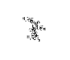 CCOC(=O)ON1CCN(C(=O)[C@H](CCC(=O)O)NC(=O)c2cc(OC3(C(=O)NC(C)C)CCC3)n(-c3ccccc3)n2)CC1